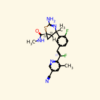 CNC(=O)[C@]12C[C@H]1[C@@](C)(c1cc(/C=C(\F)c3ncc(C#N)cc3C)ccc1F)N=C(N)S2